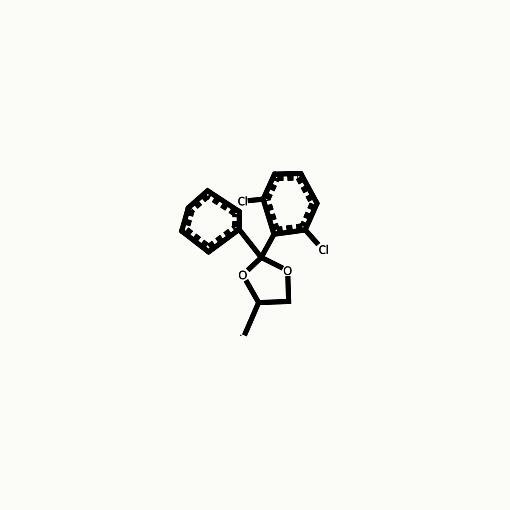 [CH2]C1COC(c2ccccc2)(c2c(Cl)cccc2Cl)O1